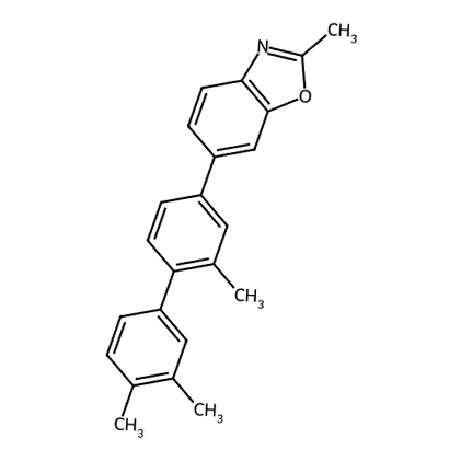 Cc1nc2ccc(-c3ccc(-c4ccc(C)c(C)c4)c(C)c3)cc2o1